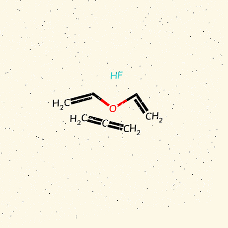 C=C=C.C=COC=C.F